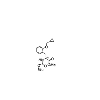 COC(=O)[C@@H](Cc1ccccc1OCC1CC1)NC(=O)OC(C)(C)C